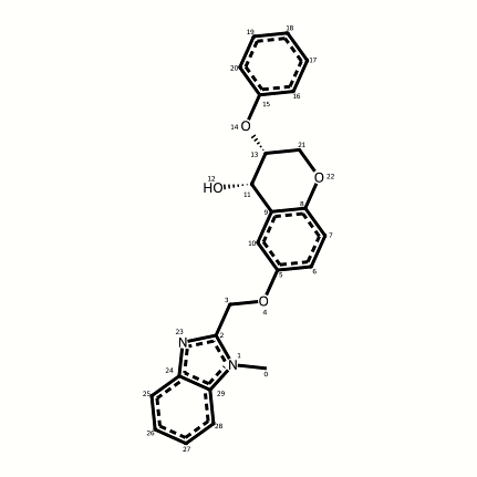 Cn1c(COc2ccc3c(c2)[C@H](O)[C@H](Oc2ccccc2)CO3)nc2ccccc21